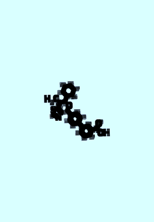 CC(c1cncs1)C(OCc1ccc(-c2cccc(C(=O)O)c2)cc1)C1CCCCC1